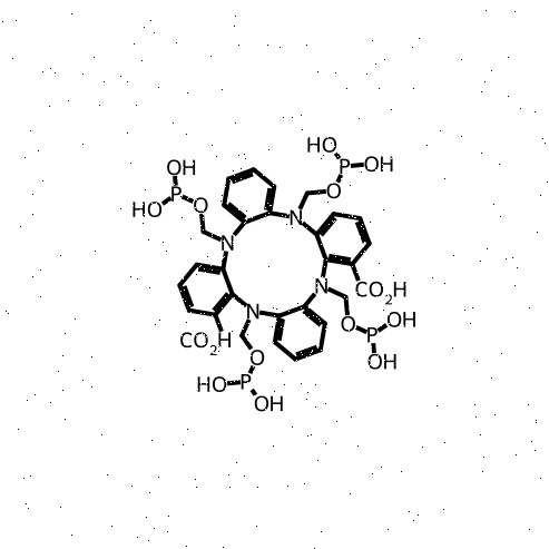 O=C(O)c1cccc2c1N(COP(O)O)c1ccccc1N(COP(O)O)c1c(C(=O)O)cccc1N(COP(O)O)c1ccccc1N2COP(O)O